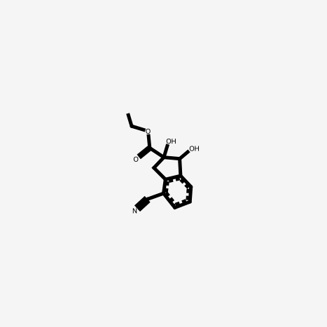 CCOC(=O)C1(O)Cc2c(C#N)cccc2C1O